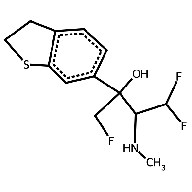 CNC(C(F)F)C(O)(CF)c1ccc2c(c1)SCC2